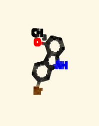 COc1cccc2[nH]c3cc(Br)ccc3c12